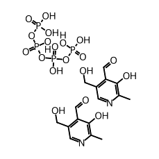 Cc1ncc(CO)c(C=O)c1O.Cc1ncc(CO)c(C=O)c1O.O=P(O)(O)OP(=O)(O)OP(=O)(O)OP(=O)(O)O